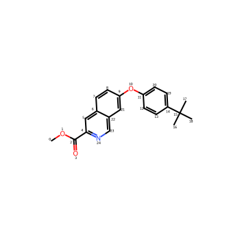 COC(=O)c1cc2ccc(Oc3ccc(C(C)(C)C)cc3)cc2cn1